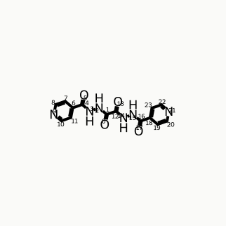 O=C(NNC(=O)c1ccncc1)C(=O)NNC(=O)c1ccncc1